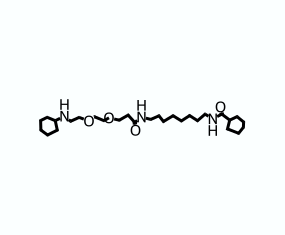 O=C(CCOCCOCCNC1CCCCC1)NCCCCCCCCNC(=O)C1CCCCC1